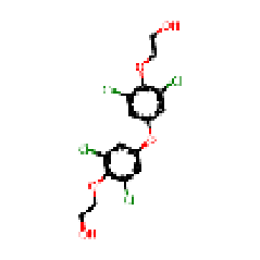 OCCOc1c(Cl)cc(Oc2cc(Cl)c(OCCO)c(Cl)c2)cc1Cl